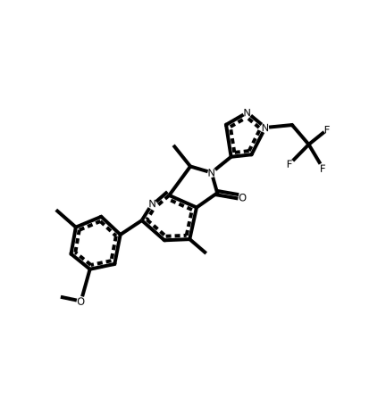 COc1cc(C)cc(-c2cc(C)c3c(n2)C(C)N(c2cnn(CC(F)(F)F)c2)C3=O)c1